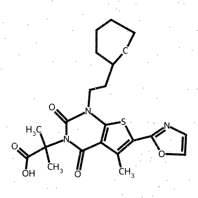 Cc1c(-c2ncco2)sc2c1c(=O)n(C(C)(C)C(=O)O)c(=O)n2CCC1CCCCC1